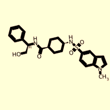 Cn1ccc2cc(S(=O)(=O)N[C@H]3CC[C@H](C(=O)N[C@@H](CO)c4ccccc4)CC3)ccc21